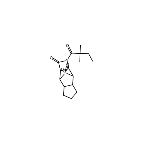 CCC(C)(C)C(=O)N1C(=O)C2C1C1C3CCCC3C2S1(=O)=O